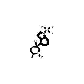 CCCN1CC(O)(c2cccc3c2ccn3[Si](C(C)C)(C(C)C)C(C)C)OC[C@@H]1C